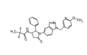 COc1ccc(Cn2ncc3cc(N4C(=O)CC(NC(=O)C(C)(F)F)C4c4ccccc4)ccc32)cn1